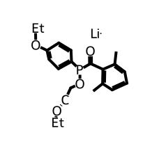 CCOCCOP(C(=O)c1c(C)cccc1C)c1ccc(OCC)cc1.[Li]